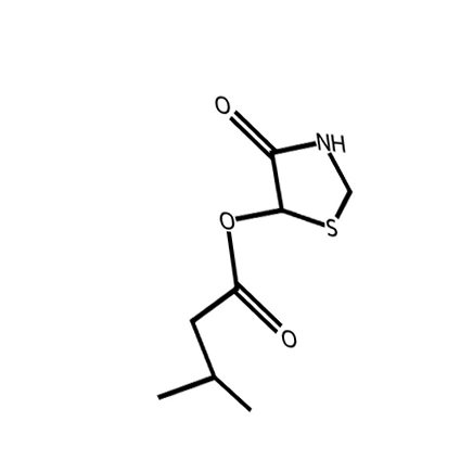 CC(C)CC(=O)OC1SCNC1=O